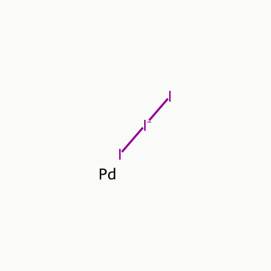 I[I-]I.[Pd]